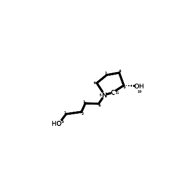 OCCCCN1CCC[C@H](O)C1